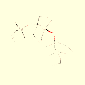 C=C[Si](C)(C)OC(CC)(CC)[Si](C)(C)OC(C)(CC)[Si](C)(C)C=C